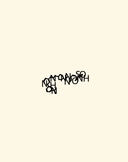 CN(C)c1cccc(-c2cc(CNCC3CCN(c4nccc(C=C5SC(=O)NC5=O)n4)CC3)ccn2)c1